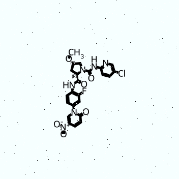 CO[C@@H]1C[C@H](C(=O)Nc2ccc(-n3cc([N+](=O)[O-])ccc3=O)cc2F)N(C(=O)Nc2ccc(Cl)cn2)C1